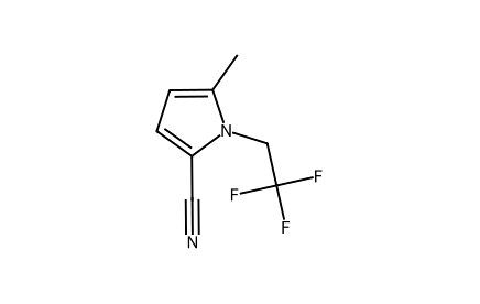 Cc1ccc(C#N)n1CC(F)(F)F